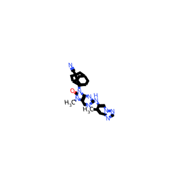 Cc1cc2ncnn2cc1Nc1ncc2c(n1)n(C1C3CC4CC5(C#N)CC1C5(C4)C3)c(=O)n2C